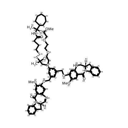 COCCOCCOCCN(CC(C)(C)SSCCCC(=O)NC(C)(C)C1CCCCCC1)c1cc(COc2cc3c(cc2OC)C(=O)N2c4ccccc4C[C@H]2C=N3)cc(COc2cc3c(cc2OC)C(=O)N2c4ccccc4C[C@H]2CN3)c1